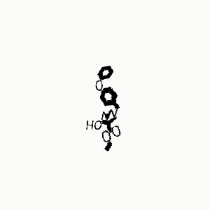 CCOC(=O)c1cn(Cc2ccc(Oc3ccccc3)cc2)nc1O